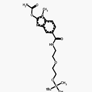 Cn1c(OC(N)=O)nc2cc(C(=O)NCCOCCO[Si](C)(C)C(C)(C)C)ccc21